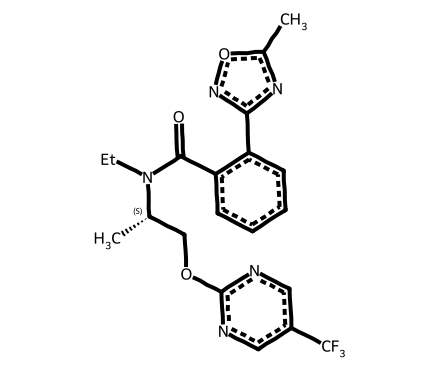 CCN(C(=O)c1ccccc1-c1noc(C)n1)[C@@H](C)COc1ncc(C(F)(F)F)cn1